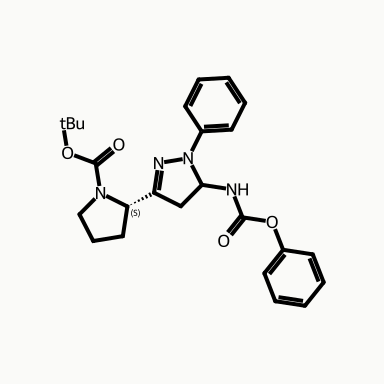 CC(C)(C)OC(=O)N1CCC[C@H]1C1=NN(c2ccccc2)C(NC(=O)Oc2ccccc2)C1